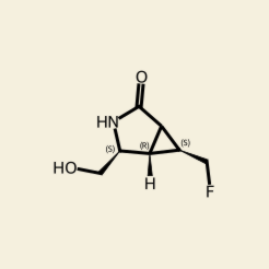 O=C1N[C@H](CO)[C@@H]2C1[C@H]2CF